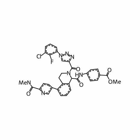 CNC(=O)c1ccc(-c2cccc3c2CCN(C(=O)c2cn(-c4cccc(Cl)c4F)nn2)C3C(=O)Nc2ccc(C(=O)OC)cc2)cn1